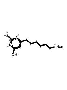 CCCCCCCCCCCCCCCc1cc(O)nc(S)n1